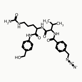 CC(C)C(NC(=O)c1ccc(CN=[N+]=[N-])cc1)C(=O)NC(CCCNC(N)=O)C(=O)Nc1ccc(CO)cc1